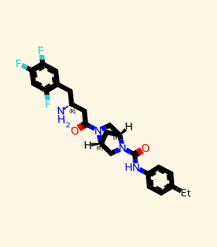 CCc1ccc(NC(=O)N2C[C@H]3C[C@@H]2CN3C(=O)C[C@H](N)Cc2cc(F)c(F)cc2F)cc1